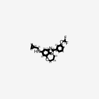 FC(F)Oc1cccc(-c2nc3cc(NCC4CC4)cc4c3n2CCCO4)c1